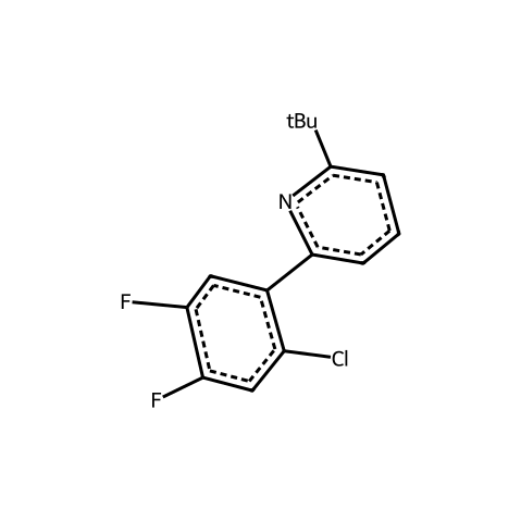 CC(C)(C)c1cccc(-c2cc(F)c(F)cc2Cl)n1